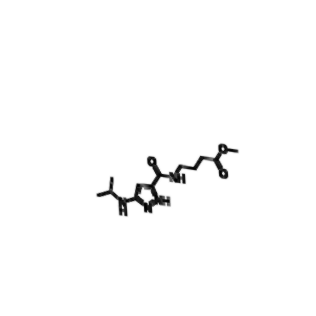 COC(=O)CCCNC(=O)c1cc(NC(C)C)n[nH]1